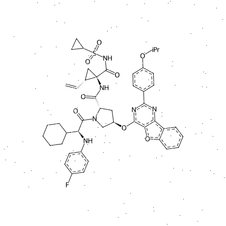 C=C[C@@H]1C[C@]1(NC(=O)[C@@H]1C[C@@H](Oc2nc(-c3ccc(OC(C)C)cc3)nc3c2oc2ccccc23)CN1C(=O)[C@@H](Nc1ccc(F)cc1)C1CCCCC1)C(=O)NS(=O)(=O)C1CC1